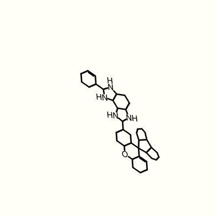 C1=CC(C2NC3CCC4NC(C5CCC6OC7CCCC=C7C7(C6C5)C5CCCCC5C5CCCCC57)NC4C3N2)CCC1